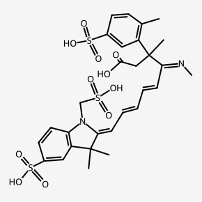 C\N=C(/C=C/C=C/C=C1\N(CS(=O)(=O)O)c2ccc(S(=O)(=O)O)cc2C1(C)C)C(C)(CC(=O)O)c1cc(S(=O)(=O)O)ccc1C